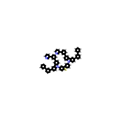 c1ccc(-c2cccc(-c3ccc4c(c3)c3cc(-c5cccc(-c6cccnc6)c5)ccc3n4-c3ccc4sc5ccc(-n6c7ccc(-c8cccc(-c9ccccc9)c8)cc7c7cc(-c8cccc(-c9cccnc9)c8)ccc76)cc5c4c3)c2)cc1